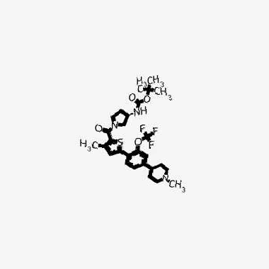 Cc1cc(-c2ccc(C3CCN(C)CC3)cc2OC(F)(F)F)sc1C(=O)N1CC[C@H](NC(=O)OC(C)(C)C)C1